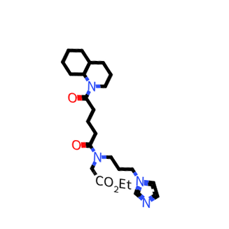 CCOC(=O)CN(CCCn1ccnc1)C(=O)CCCC(=O)N1CCCC2CCCCC21